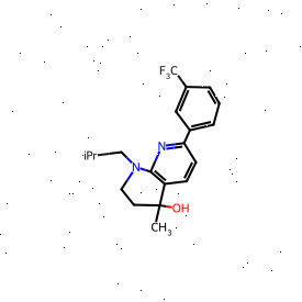 C[C](C)CN1CCC(C)(O)c2ccc(-c3cccc(C(F)(F)F)c3)nc21